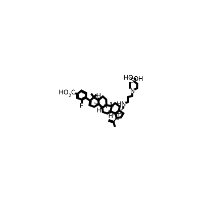 C=C(C)[C@@H]1CC[C@]2(CNCCCN3CCS(O)(O)CC3)CC[C@]3(C)[C@H](CC[C@@H]4[C@@]5(C)CC=C(c6ccc(C(=O)O)cc6F)C(C)(C)[C@@H]5CC[C@]43C)[C@@H]12